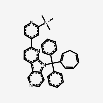 C[N+](C)(C)c1cc(-c2ccc3c4cnccc4n(C(C4=CCC=CC=C4)(c4ccccc4)c4ccccc4)c3n2)ccn1